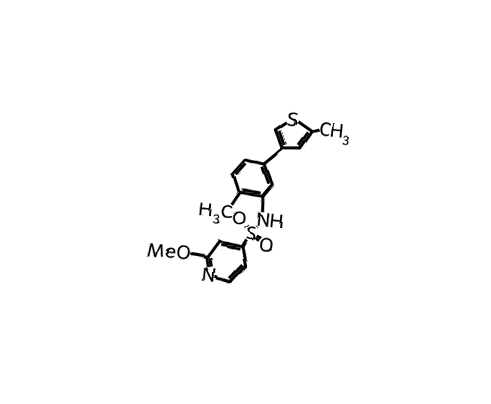 COc1cc(S(=O)(=O)Nc2cc(-c3csc(C)c3)ccc2C)ccn1